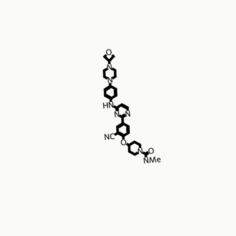 CNC(=O)N1CCC(Oc2ccc(-c3nccc(Nc4ccc(N5CCN(C6COC6)CC5)cc4)n3)cc2C#N)CC1